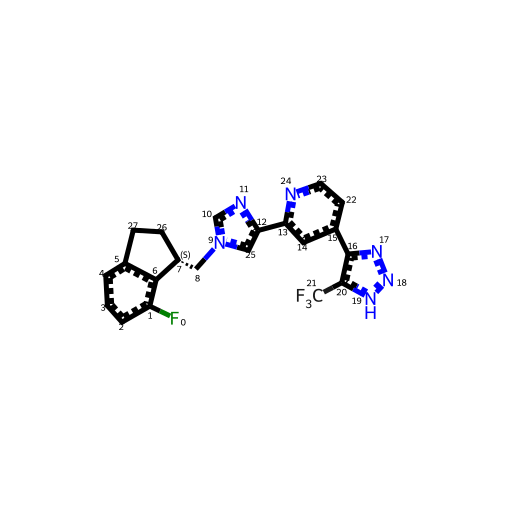 Fc1cccc2c1[C@@H](Cn1cnc(-c3cc(-c4nn[nH]c4C(F)(F)F)ccn3)c1)CC2